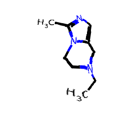 CCN1CCn2c(cnc2C)C1